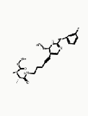 CCCNC1NC(Nc2cccc(F)c2)=NC=C1C#CCCCNC(=O)[C@H](C)N(C)C(=O)OC(C)(C)C